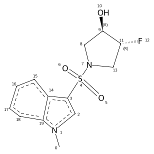 Cn1cc(S(=O)(=O)N2C[C@@H](O)[C@H](F)C2)c2ccccc21